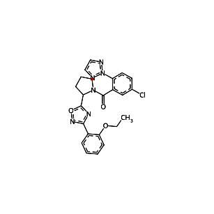 CCOc1ccccc1-c1noc(C2CCCN2C(=O)c2cc(Cl)ccc2-n2nccn2)n1